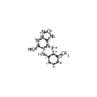 Oc1nc2nonc2nc1Nc1cccc(C(F)(F)F)c1F